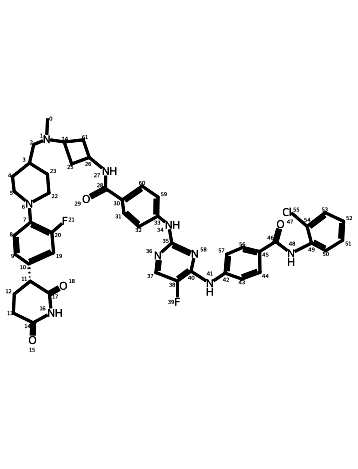 CN(CC1CCN(c2ccc([C@H]3CCC(=O)NC3=O)cc2F)CC1)C1CC(NC(=O)c2ccc(Nc3ncc(F)c(Nc4ccc(C(=O)Nc5ccccc5Cl)cc4)n3)cc2)C1